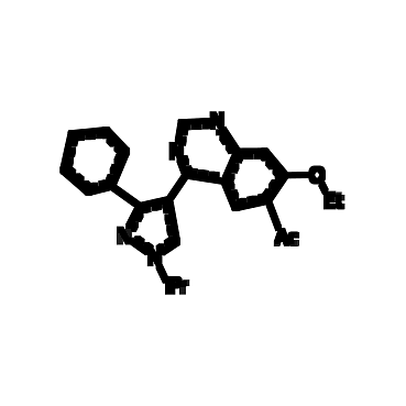 CCOc1cc2ncnc(-c3cn(C(C)C)nc3-c3ccccc3)c2cc1C(C)=O